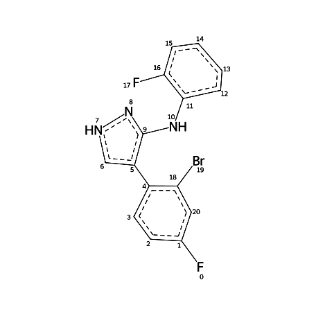 Fc1ccc(-c2c[nH]nc2Nc2ccccc2F)c(Br)c1